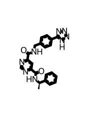 C[C@@H](NC(=O)c1cc(C(=O)NCc2ccc(-c3nnn[nH]3)cc2)ncn1)c1ccccc1